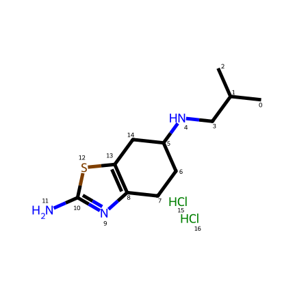 CC(C)CNC1CCc2nc(N)sc2C1.Cl.Cl